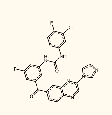 O=C(Nc1cc(F)cc(C(=O)c2ccc3ncc(-n4ccnc4)nc3c2)c1)Nc1ccc(F)c(Cl)c1